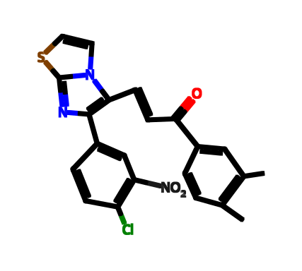 Cc1ccc(C(=O)C=Cc2c(-c3ccc(Cl)c([N+](=O)[O-])c3)nc3sccn23)cc1C